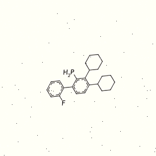 Fc1ccccc1-c1ccc(C2CCCCC2)c(C2CCCCC2)c1P